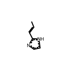 CC=Cc1ncc[nH]1